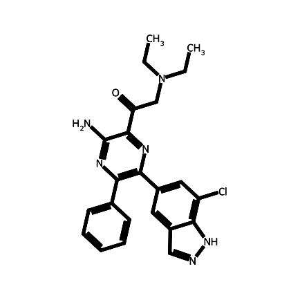 CCN(CC)CC(=O)c1nc(-c2cc(Cl)c3[nH]ncc3c2)c(-c2ccccc2)nc1N